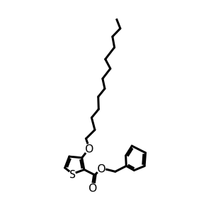 CCCCCCCCCCCCCOc1ccsc1C(=O)OCc1ccccc1